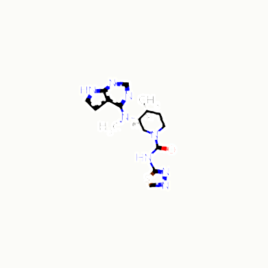 C[C@@H]1CCN(C(=O)Nc2nncs2)C[C@@H]1N(C)c1ncnc2[nH]ccc12